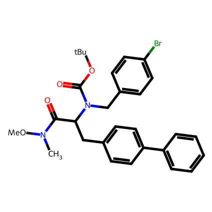 CON(C)C(=O)C(Cc1ccc(-c2ccccc2)cc1)N(Cc1ccc(Br)cc1)C(=O)OC(C)(C)C